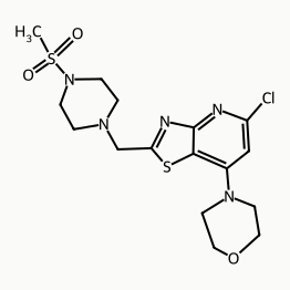 CS(=O)(=O)N1CCN(Cc2nc3nc(Cl)cc(N4CCOCC4)c3s2)CC1